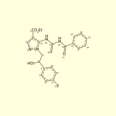 CCOC(=O)c1cnn(CC(O)c2ccc(F)cc2)c1NC(=S)NC(=O)c1ccccc1